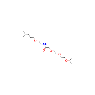 CC(C)CCCOCCNC(=O)COCCOCCOC(C)C